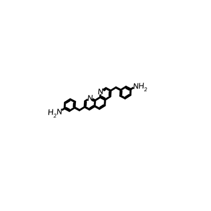 Nc1cccc(Cc2cnc3c(ccc4cc(Cc5cccc(N)c5)cnc43)c2)c1